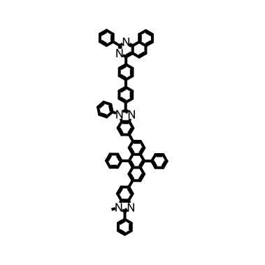 Cn1c(-c2ccccc2)nc2cc(-c3ccc4c(-c5ccccc5)c5ccc(-c6ccc7c(c6)nc(-c6ccc(-c8ccc(-c9nc(-c%10ccccc%10)nc%10c9ccc9ccccc9%10)cc8)cc6)n7-c6ccccc6)cc5c(-c5ccccc5)c4c3)ccc21